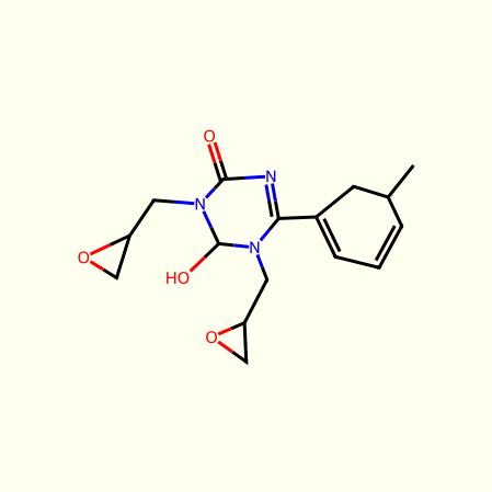 CC1C=CC=C(C2=NC(=O)N(CC3CO3)C(O)N2CC2CO2)C1